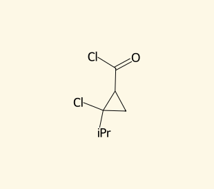 CC(C)C1(Cl)CC1C(=O)Cl